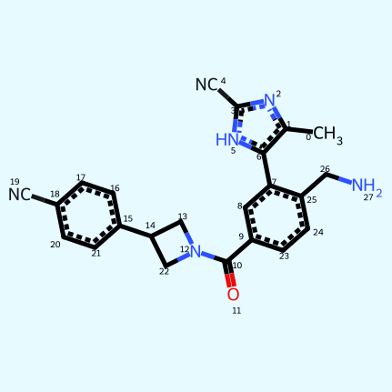 Cc1nc(C#N)[nH]c1-c1cc(C(=O)N2CC(c3ccc(C#N)cc3)C2)ccc1CN